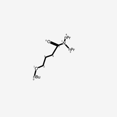 CCCCOCCCC(=O)N(CCC)CCC